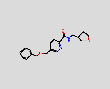 O=C(NCC1CCOC1)c1ccc(COCc2ccccc2)cn1